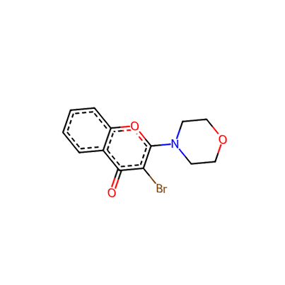 O=c1c(Br)c(N2CCOCC2)oc2ccccc12